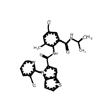 Cc1cc(Cl)cc(C(=O)NC(C)C)c1NC(=O)c1cc2sccc2n1-c1ncccc1Cl